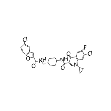 O=C(NC[C@H]1CC[C@H](NC(=O)c2cn(C3CC3)c3cc(Cl)c(F)cc3c2=O)CC1)c1cc2cc(Cl)ccc2o1